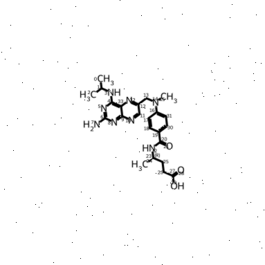 CC(C)Nc1nc(N)nc2ncc(CN(C)c3ccc(C(=O)N[C@H](C)CCC(=O)O)cc3)nc12